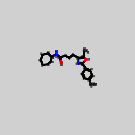 COc1ccc(-c2nc(CCCC(=O)NC3CCCCCC3)c(C)o2)cc1